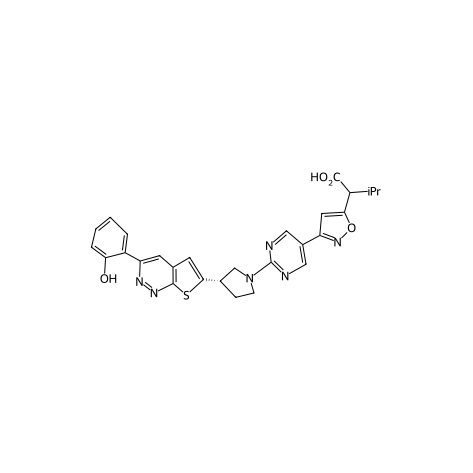 CC(C)C(C(=O)O)c1cc(-c2cnc(N3CC[C@H](c4cc5cc(-c6ccccc6O)nnc5s4)C3)nc2)no1